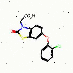 O=C(O)Cn1c(=O)sc2cc(Oc3ccccc3Cl)ccc21